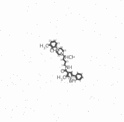 CCCn1c(-c2ccccc2)cc(C(=O)NCCCCN2CCN(c3cccc(C)c3C)CC2)c1C.Cl